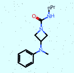 CCCNC(=O)N1CC(N(C)c2ccccc2)C1